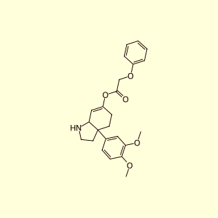 COc1ccc(C23CCNC2C=C(OC(=O)COc2ccccc2)CC3)cc1OC